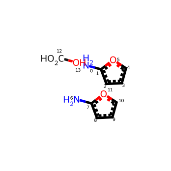 Nc1ccco1.Nc1ccco1.O=C(O)O